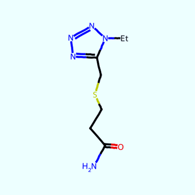 CCn1nnnc1CSCCC(N)=O